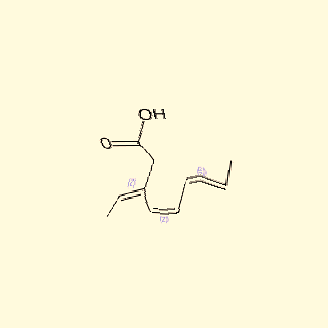 C\C=C(/C=C\C=C\C)CC(=O)O